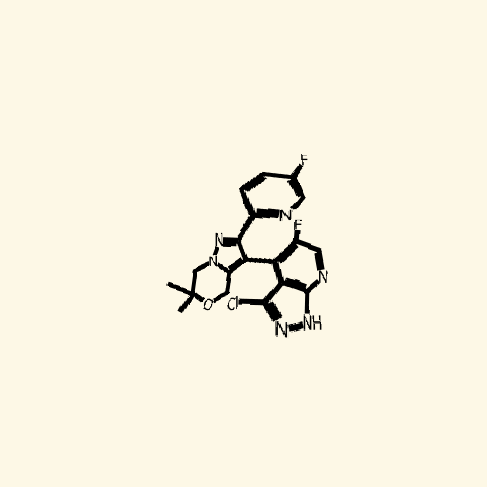 CC1(C)Cn2nc(-c3ccc(F)cn3)c(-c3c(F)cnc4[nH]nc(Cl)c34)c2CO1